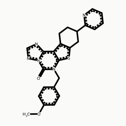 COc1ccc(Cn2c(=O)n3ncnc3c3c4c(sc32)CC(c2ccccn2)CC4)cc1